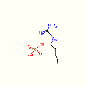 CC=CCNC(=N)N.O=S(=O)(O)O